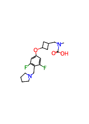 CN(CC1CC(Oc2cc(F)c(CN3CCCC3)c(F)c2)C1)C(=O)O